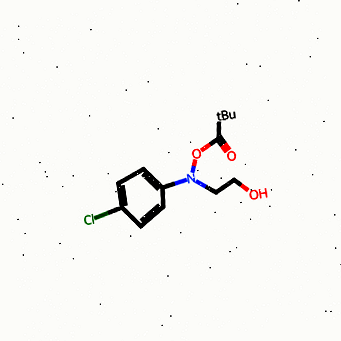 CC(C)(C)C(=O)ON(CCO)c1ccc(Cl)cc1